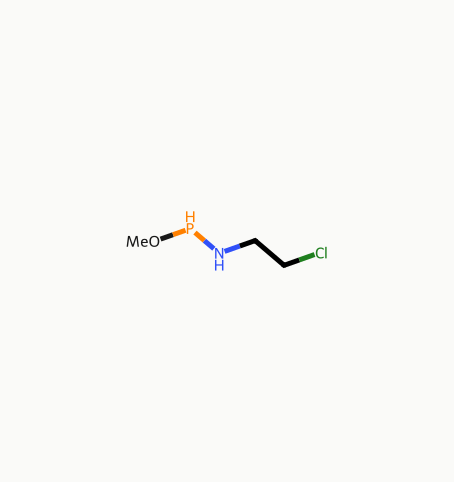 COPNCCCl